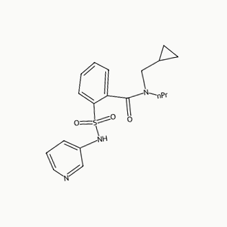 CCCN(CC1CC1)C(=O)c1ccccc1S(=O)(=O)Nc1cccnc1